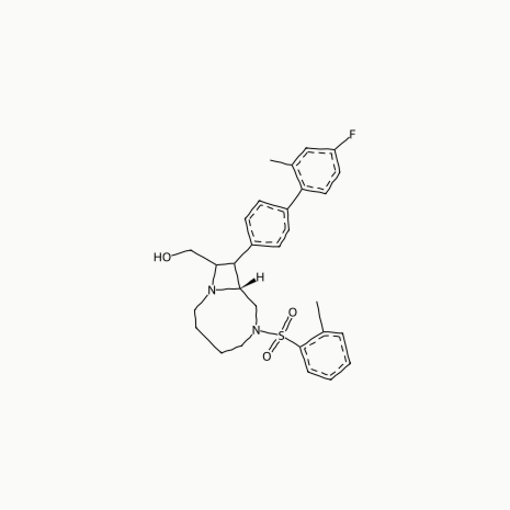 Cc1cc(F)ccc1-c1ccc(C2C(CO)N3CCCCN(S(=O)(=O)c4ccccc4C)C[C@@H]23)cc1